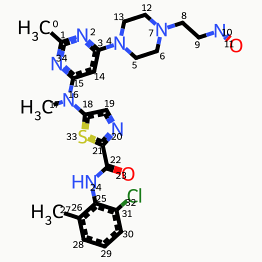 Cc1nc(N2CCN(CCN=O)CC2)cc(N(C)c2cnc(C(=O)Nc3c(C)cccc3Cl)s2)n1